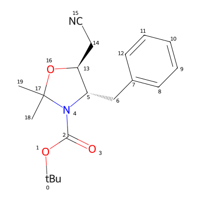 CC(C)(C)OC(=O)N1[C@@H](Cc2ccccc2)[C@H](CC#N)OC1(C)C